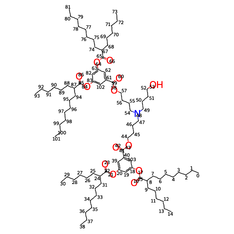 CCCCCCCCC(CCCCCC)C(=O)Oc1cc(OC(=O)C(CCCCCC)CCCCCCCC)cc(C(=O)OCCCCN(CCCCO)CCCCOC(=O)c2cc(OC(=O)C(CCCCCC)CCCCCCCC)cc(OC(=O)C(CCCCCC)CCCCCCCC)c2)c1